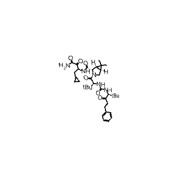 CC(C)(C)[C@H](NC(=O)N[C@H](C(=O)N1C[C@H]2[C@@H]([C@H]1C(=O)NC(CC1CC1)C(=O)C(N)=O)C2(C)C)C(C)(C)C)C(=O)CCc1ccccc1